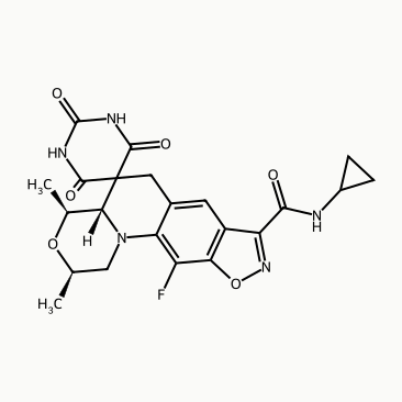 C[C@@H]1CN2c3c(cc4c(C(=O)NC5CC5)noc4c3F)CC3(C(=O)NC(=O)NC3=O)[C@H]2[C@H](C)O1